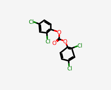 O=C(Oc1ccc(Cl)cc1Cl)Oc1ccc(Cl)cc1Cl